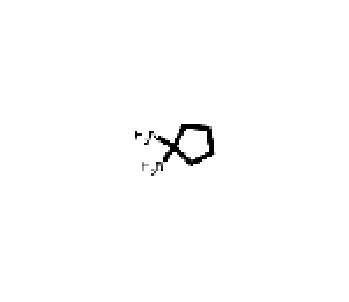 BC1(N)CCCC1